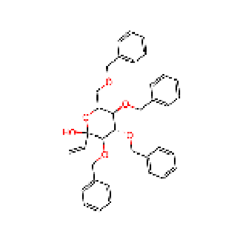 C=C[C@]1(O)OC(COCc2ccccc2)[C@@H](OCc2ccccc2)[C@H](OCc2ccccc2)C1OCc1ccccc1